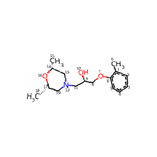 Cc1ccccc1OC[C@H](O)CN1C[C@@H](C)O[C@@H](C)C1